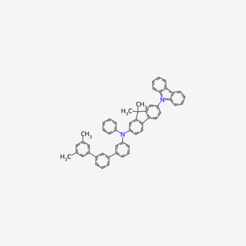 Cc1cc(C)cc(-c2cccc(-c3cccc(N(c4ccccc4)c4ccc5c(c4)C(C)(C)c4cc(-n6c7ccccc7c7ccccc76)ccc4-5)c3)c2)c1